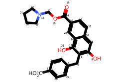 O=C(O)c1ccc(Cc2c(O)cc3ccc(C(=O)OCN4CCCC4)cc3c2O)cc1